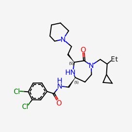 CCC(CN1CC[C@@H](CNC(=O)c2ccc(Cl)c(Cl)c2)N[C@@H](CCN2CCCCC2)C1=O)C1CC1